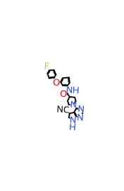 N#CC1CNc2ncnc(N3CCC(C(=O)Nc4cccc(Oc5ccc(F)cc5)c4)CC3)c21